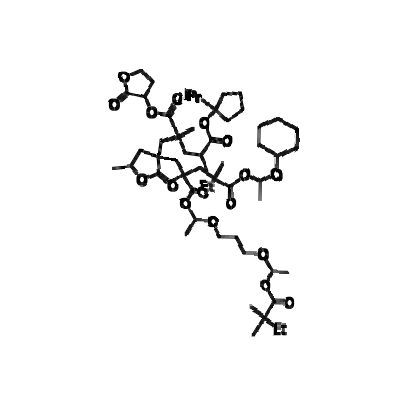 CCC(C)(C)C(=O)OC(C)OCCCOC(C)OC(=O)C(C)(CC(C)(CC)C(=O)OC(C)OC1CCCCC1)CC1(CC(C)(CC(C)C(=O)OC2(C(C)C)CCCC2)C(=O)OC2CCOC2=O)CC(C)OC1=O